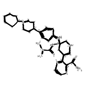 CN(C)C(=O)N[C@@]1(Nc2ccc(C3CCN(C4CCCCC4)CC3)cc2)CNCC(c2nccnc2C(N)=O)C1